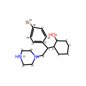 OC1CCCCC1C(CN1CCNCC1)c1ccc(Br)cc1